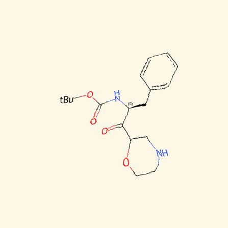 CC(C)(C)OC(=O)N[C@@H](Cc1ccccc1)C(=O)C1CNCCO1